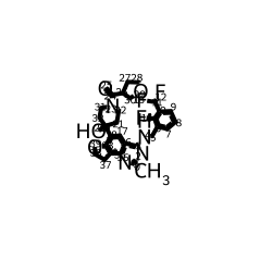 Cc1nc(NCc2cccc(C(F)F)c2F)c2cc(C3(O)CCN(C(=O)C4CCOC4)CC3)c3c(c2n1)CCO3